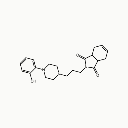 O=C1C2CC=CCC2C(=O)N1CCCN1CCN(c2ccccc2O)CC1